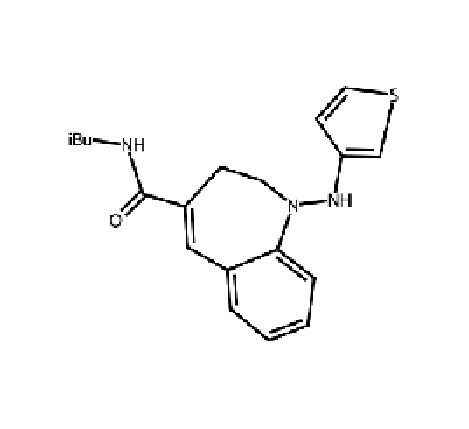 CCC(C)NC(=O)C1=Cc2ccccc2N(Nc2ccsc2)CC1